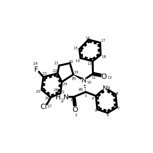 NC(=O)[C@@H](c1ccccn1)N(C(=O)c1ccccc1)[C@@H]1CCc2c(F)cc(Cl)cc21